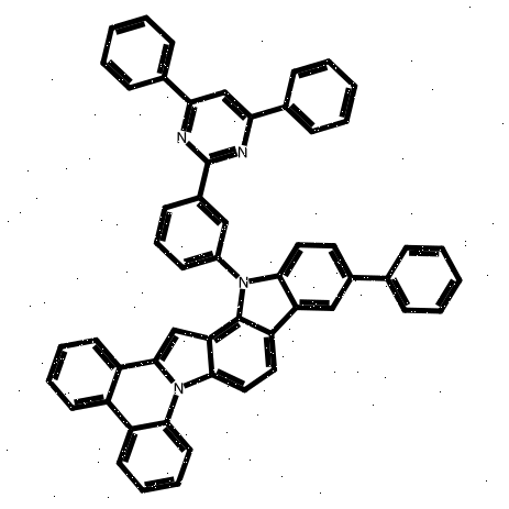 c1ccc(-c2ccc3c(c2)c2ccc4c(cc5c6ccccc6c6ccccc6n54)c2n3-c2cccc(-c3nc(-c4ccccc4)cc(-c4ccccc4)n3)c2)cc1